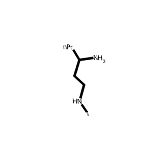 CCCC(N)CCNI